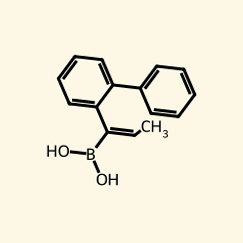 C/C=C(/B(O)O)c1ccccc1-c1ccccc1